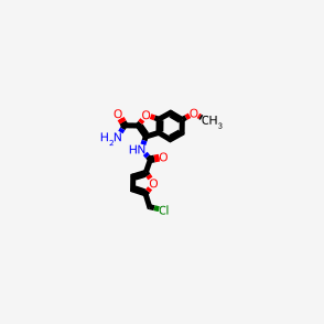 COc1ccc2c(NC(=O)c3ccc(CCl)o3)c(C(N)=O)oc2c1